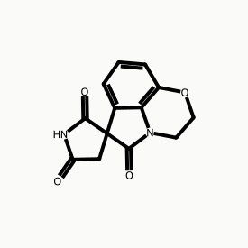 O=C1CC2(C(=O)N1)C(=O)N1CCOc3cccc2c31